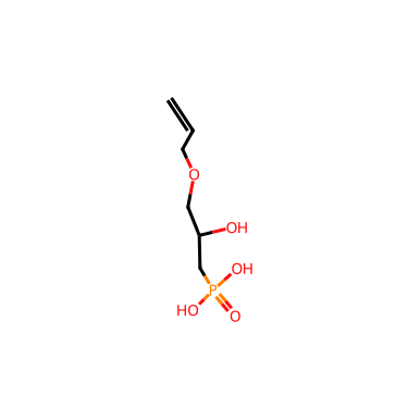 C=CCOCC(O)CP(=O)(O)O